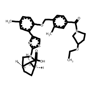 CCOC1CCN(C(=O)c2ccc(COc3ccc(C)cc3-c3csc(N4C[C@H]5CC[C@@H](C4)[C@H]5C(=O)O)n3)c(C)c2)C1